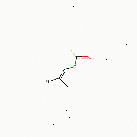 CCC(C)=COC(=O)[S]